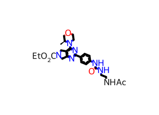 CCOC(=O)N1Cc2nc(-c3ccc(NC(=O)NCCNC(C)=O)cc3)nc(N3CCOC[C@@H]3C)c2C1